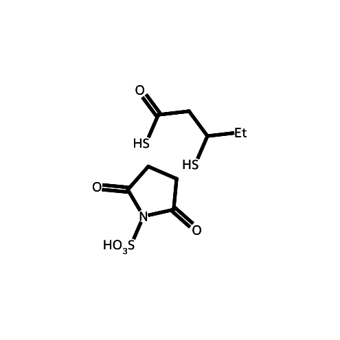 CCC(S)CC(=O)S.O=C1CCC(=O)N1S(=O)(=O)O